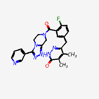 Cc1c(Cc2ccc(F)c(C(=O)N3CCn4c(nnc4-c4cccnc4)C3)c2)n[nH]c(=O)c1C